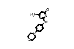 Nc1cc(Cl)nc(Nc2ccc(N3CCOCC3)cc2)n1